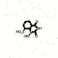 CCCCn1c(=O)[nH]c(=O)c2cccc(S(=O)(=O)O)c21